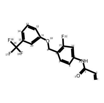 C=CC(=O)Nc1ccc(COc2cccc(C(F)(F)F)c2)c(F)c1